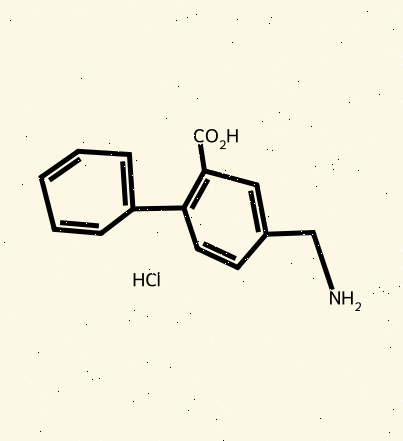 Cl.NCc1ccc(-c2ccccc2)c(C(=O)O)c1